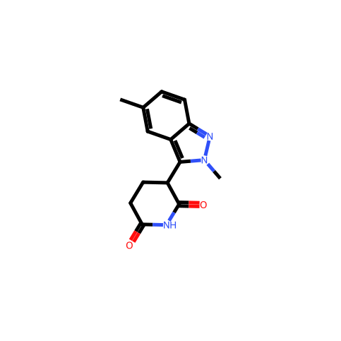 Cc1ccc2nn(C)c(C3CCC(=O)NC3=O)c2c1